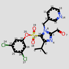 CC(C)c1nc(C=O)n(Cc2cccnc2)c1S(=O)(=O)Oc1cc(Cl)cc(Cl)c1